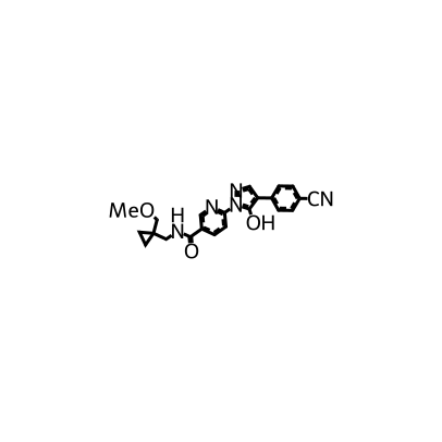 COCC1(CNC(=O)c2ccc(-n3ncc(-c4ccc(C#N)cc4)c3O)nc2)CC1